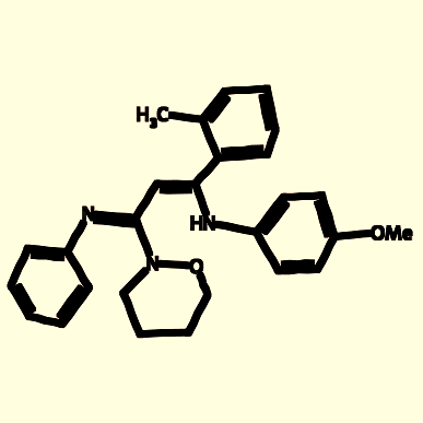 COc1ccc(N/C(=C\C(=N\c2ccccc2)N2CCCCO2)c2ccccc2C)cc1